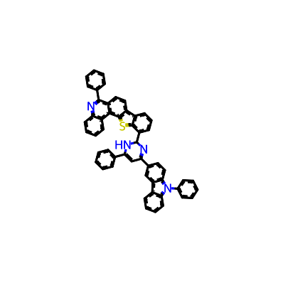 C1=C(c2ccccc2)NC(c2cccc3c2sc2c3ccc3c(-c4ccccc4)nc4ccccc4c32)N=C1c1ccc2c(c1)c1ccccc1n2-c1ccccc1